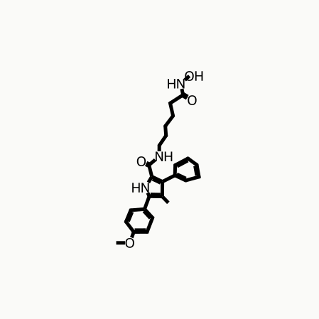 COc1ccc(-c2[nH]c(C(=O)NCCCCCC(=O)NO)c(-c3ccccc3)c2C)cc1